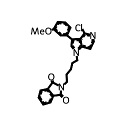 COc1cccc(-c2cn(CCCCCN3C(=O)c4ccccc4C3=O)c3ccnc(Cl)c23)c1